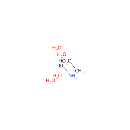 CC(=O)O.CCN.O.O.O.O